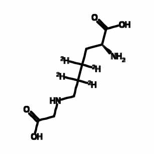 [2H]C([2H])(CNCC(=O)O)C([2H])([2H])C[C@H](N)C(=O)O